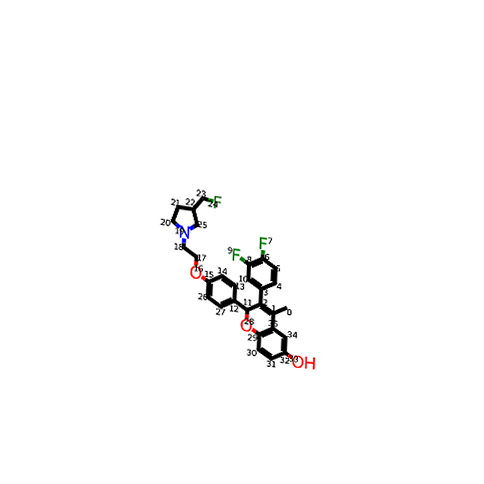 CC1=C(c2ccc(F)c(F)c2)C(c2ccc(OCCN3CCC(CF)C3)cc2)Oc2ccc(O)cc21